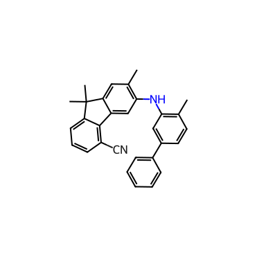 Cc1ccc(-c2ccccc2)cc1Nc1cc2c(cc1C)C(C)(C)c1cccc(C#N)c1-2